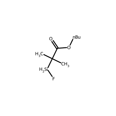 CCCCOC(=O)C(C)(C)[SiH2]F